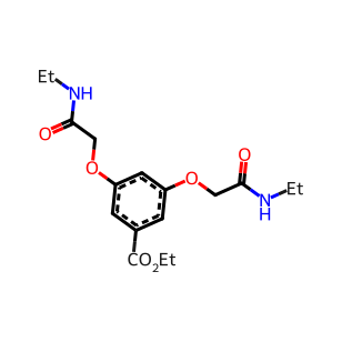 CCNC(=O)COc1cc(OCC(=O)NCC)cc(C(=O)OCC)c1